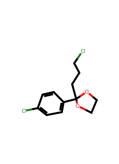 ClCCCC1(c2ccc(Cl)cc2)OCCO1